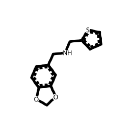 c1csc(CNCc2ccc3c(c2)OCO3)c1